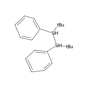 CC(C)(C)[SiH](c1ccccc1)[SiH](c1ccccc1)C(C)(C)C